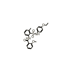 CCOc1ccc(NS(=O)(=O)c2c(C)cccc2NC(=O)c2ccccc2OC)cc1